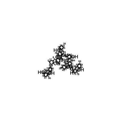 Cc1ccc(O)c(C(C)c2cc(C)cc(C(C)c3cc(C)cc(C(C)c4cc(C)ccc4O)c3O)c2O)c1.Cc1ccc(O)c(C(C)c2cc(C)cc(C(C)c3cc(C)ccc3O)c2O)c1.Cc1ccc(O)c(C(C)c2cc(C)ccc2O)c1.Cc1ccc(O)c(C(C)c2cc(C)ccc2O)c1